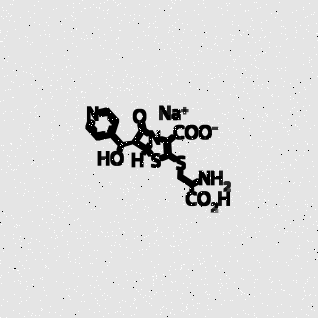 N[C@H](CSC1=C(C(=O)[O-])N2C(=O)[C@H](C(O)c3ccncc3)[C@H]2S1)C(=O)O.[Na+]